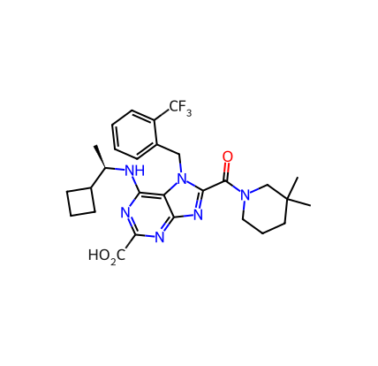 C[C@@H](Nc1nc(C(=O)O)nc2nc(C(=O)N3CCCC(C)(C)C3)n(Cc3ccccc3C(F)(F)F)c12)C1CCC1